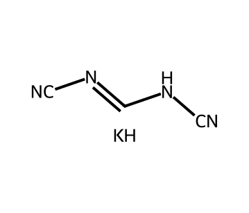 N#CN=CNC#N.[KH]